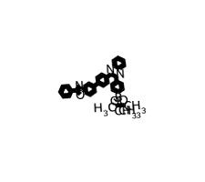 CC1(C)OB(c2ccc(-c3nc4ccccc4nc3-c3ccc(-c4ccc5oc(-c6ccccc6)nc5c4)cc3)cc2)OC1(C)C